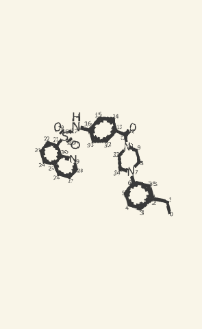 CCc1cccc(N2CCN(C(=O)c3ccc(NS(=O)(=O)c4cccc5cccnc45)cc3)CC2)c1